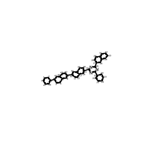 c1ccc(-c2ccc3cc(-c4ccc5cc(-c6nc(-c7ccccc7)nc(-c7ccc8ccccc8c7)n6)ccc5c4)ccc3c2)cc1